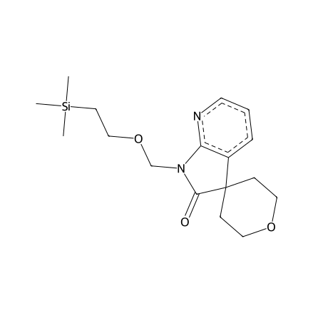 C[Si](C)(C)CCOCN1C(=O)C2(CCOCC2)c2cccnc21